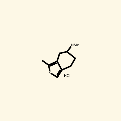 CNC1CCc2csc(C)c2C1.Cl